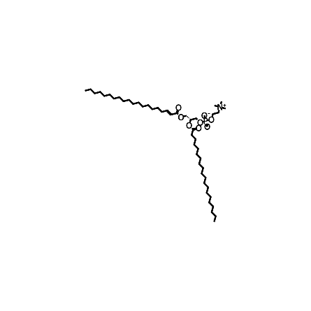 CCCCCCCCCCCCCCCCCC=CC(=O)OC[C@H](COP(=O)([O-])OCC[N+](C)(C)C)OC(=O)CCCCCCCCCCCCCCCCCCC